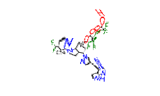 N#CC[C@@H]([C@H]1CCN(c2nccc(C(F)F)c2C#N)C1)n1cc(-c2ncnc3[nH]ccc23)cn1.O=C(O)C(F)(F)F.O=C(O)C(F)(F)F